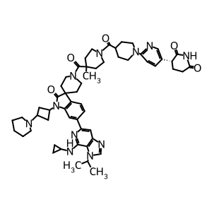 CC(C)n1cnc2cc(-c3ccc4c(c3)N(C3CC(N5CCCCC5)C3)C(=O)C43CCN(C(=O)C4(C)CCN(C(=O)C5CCN(c6ccc([C@H]7CCC(=O)NC7=O)cn6)CC5)CC4)CC3)nc(NC3CC3)c21